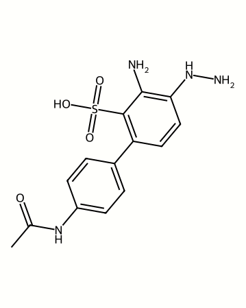 CC(=O)Nc1ccc(-c2ccc(NN)c(N)c2S(=O)(=O)O)cc1